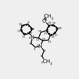 CCCN1CCN(c2ccccc2)C2Cc3c(cccc3OC)CC21